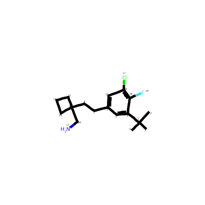 CC(C)(C)c1cc(CCC2(CN)CCC2)cc(Cl)c1F